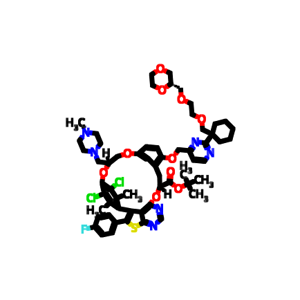 Cc1c(Cl)c2c(Cl)c(C)c1-c1c(-c3ccc(F)cc3)sc3ncnc(c13)O[C@@H](C(=O)OC(C)(C)C)Cc1cc(ccc1OCc1ccnc(C3(COCCOC[C@H]4COCCO4)CCCCC3)n1)OC[C@@H](CN1CCN(C)CC1)O2